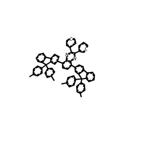 Cc1ccc(C2(c3ccc(C)cc3)c3ccccc3-c3ccc(-c4ccc(-c5ccc6c(c5)C(c5ccc(C)cc5)(c5ccc(C)cc5)c5ccccc5-6)c5nc(-c6ccccc6)c(-c6ccccc6)nc45)cc32)cc1